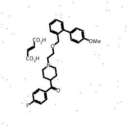 COc1ccc(-c2ccccc2COCCN2CCC(C(=O)c3ccc(F)cc3)CC2)cc1.O=C(O)C=CC(=O)O